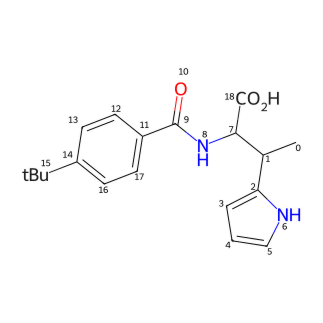 CC(c1ccc[nH]1)C(NC(=O)c1ccc(C(C)(C)C)cc1)C(=O)O